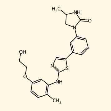 Cc1ccc(OCCO)cc1Nc1ncc(-c2cccc(N3CC(C)NC3=O)c2)s1